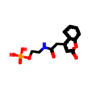 O=C(Cc1cc(=O)oc2ccccc12)NCCOP(=O)(O)O